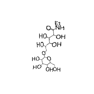 CCNC(=O)C(O)C(O)C(O)C(O)COC1OC(CO)C(O)C(O)C1O